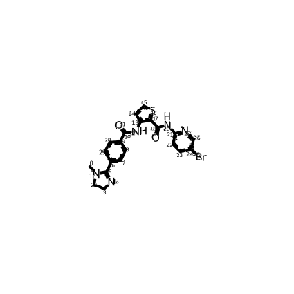 CN1CCN=C1c1ccc(C(=O)Nc2ccsc2C(=O)Nc2ccc(Br)cn2)cc1